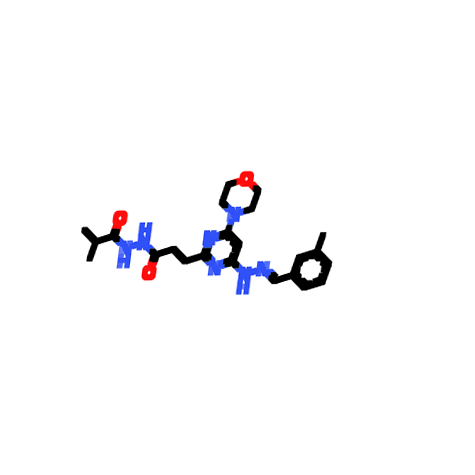 Cc1cccc(C=NNc2cc(N3CCOCC3)nc(CCC(=O)NNC(=O)C(C)C)n2)c1